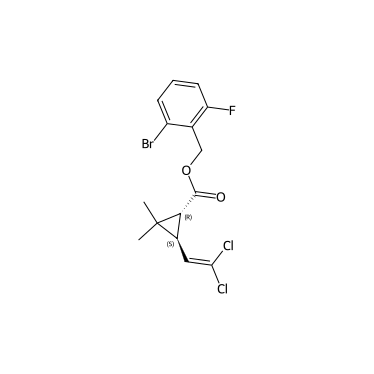 CC1(C)[C@H](C=C(Cl)Cl)[C@H]1C(=O)OCc1c(F)cccc1Br